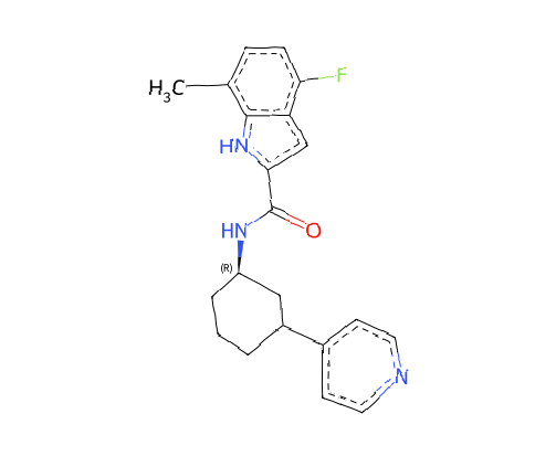 Cc1ccc(F)c2cc(C(=O)N[C@@H]3CCCC(c4ccncc4)C3)[nH]c12